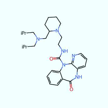 CC(C)CN(CC(C)C)CC1CCCCN1CCNC(=O)N1c2ccccc2C(=O)Nc2cccnc21